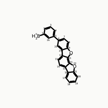 Bc1cccc(-c2ccc3oc4c(ccc5c6ccccc6oc54)c3c2)c1